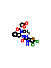 CN(C(=O)[C@@H]1CCC(=O)O1)[C@@H]1c2ccccc2C[C@H]1NC(=O)c1cc2sc(Cl)c(Cl)c2[nH]1